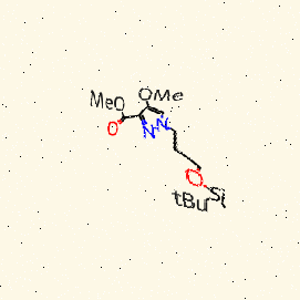 COC(=O)c1nn(CCCO[Si](C)(C)C(C)(C)C)cc1OC